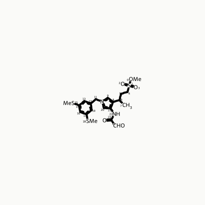 COS(=O)(=O)CCC(C)c1cn(Cc2cc(SC)cc(SC)c2)cc1NC(=O)C=O